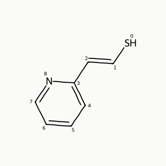 SC=Cc1ccccn1